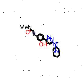 CNC(=O)/C=C/c1ccc(-c2ccc(N(C)C3CC4CCCC(C3)N4)nn2)c(O)c1